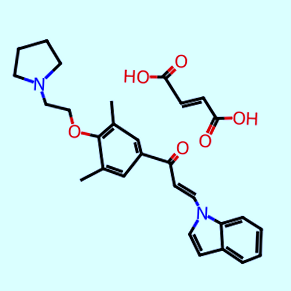 Cc1cc(C(=O)C=Cn2ccc3ccccc32)cc(C)c1OCCN1CCCC1.O=C(O)C=CC(=O)O